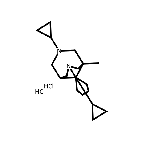 CC12CN(C3CC3)CC(CN(C3CC3)C1)C21CCCC1.Cl.Cl